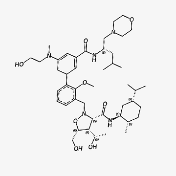 COc1c(CN2O[C@@H](CO)[C@@H]([C@H](C)O)[C@H]2C(=O)N[C@H]2C[C@H](C(C)C)CC[C@@H]2C)cccc1C1C=C(C(=O)N[C@@H](CC(C)C)CN2CCOCC2)C=C(N(C)CCO)C1